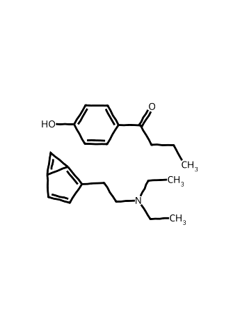 CCCC(=O)c1ccc(O)cc1.CCN(CC)CCc1ccc2cc1-2